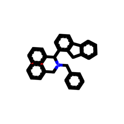 c1ccc(CN(Cc2ccccc2)C(c2ccccc2)c2cccc3c2Cc2ccccc2-3)cc1